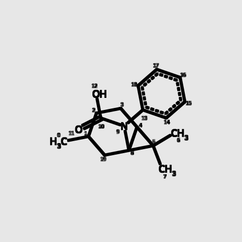 CC1CCC2C(C)(C)C2(N(C(=O)O)c2ccccc2)C1